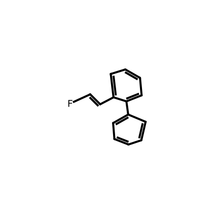 FC=Cc1ccccc1-c1ccccc1